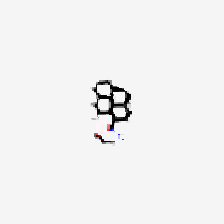 C1=COC(c2ccc3ccc4cccc5ccc2c3c45)N=C1